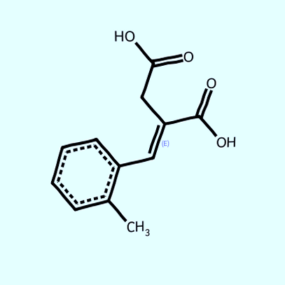 Cc1ccccc1/C=C(\CC(=O)O)C(=O)O